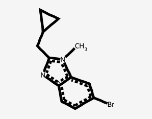 Cn1c(CC2CC2)nc2ccc(Br)cc21